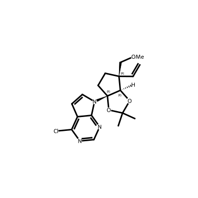 C=C[C@@]1(COC)CC[C@@]2(n3ccc4c(Cl)ncnc43)OC(C)(C)O[C@H]12